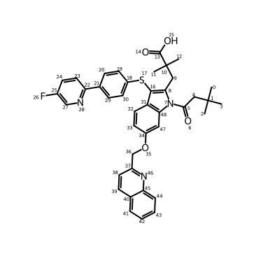 CC(C)(C)CC(=O)n1c(CC(C)(C)C(=O)O)c(Sc2ccc(-c3ccc(F)cn3)cc2)c2ccc(OCc3ccc4ccccc4n3)cc21